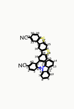 N#Cc1ccc(-n2c3ccccc3c3ccccc32)c(-c2ccc3sc4cc5sc6ccc(C#N)cc6c5cc4c3c2)c1